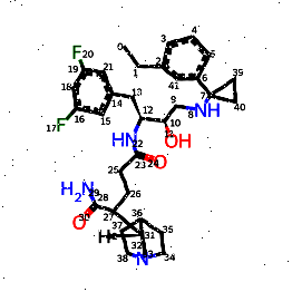 CCc1cccc(C2(NC[C@@H](O)[C@H](Cc3cc(F)cc(F)c3)NC(=O)CCC(C(N)=O)[C@H]3CN4CCC3CC4)CC2)c1